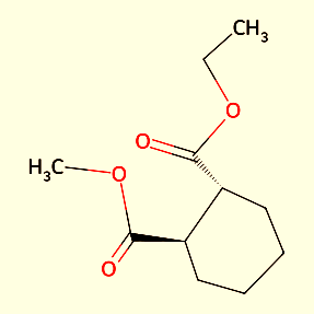 CCOC(=O)[C@@H]1CCCC[C@H]1C(=O)OC